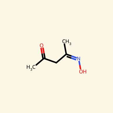 CC(=O)C/C(C)=N\O